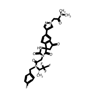 C[C@H](N(Cc1ccc(F)cc1)C(=O)CN1C(=O)NC2(CC(=O)c3cc(-c4cnn(CC(=O)N(C)C)c4)ccc32)C1=O)C(F)(F)F